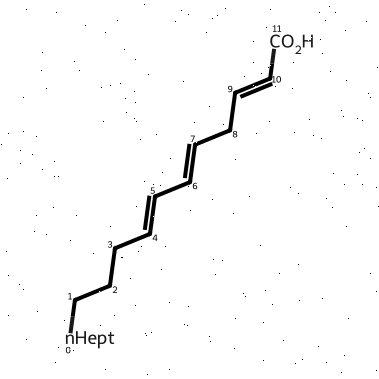 CCCCCCCCCCC=CC=CCC=CC(=O)O